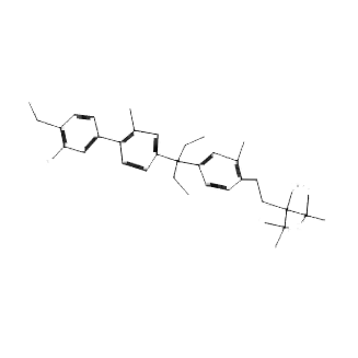 CCc1ccc(-c2ccc(C(CC)(CC)c3ccc(CCC(O)(C(F)(F)F)C(F)(F)F)c(C)c3)cc2C)cc1F